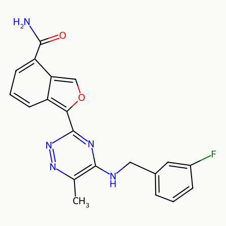 Cc1nnc(-c2occ3c(C(N)=O)cccc23)nc1NCc1cccc(F)c1